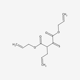 C=CCOC(=O)C(=S)C(CC=C)C(=O)OCC=C